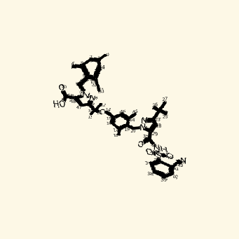 Cc1cc(C)c(Cn2nc(C(C)(C)CCc3cc(C)c(Cn4nc(C(C)(C)C)cc4C(=O)NS(=O)(=O)c4ccccc4C#N)c(C)c3)cc2C(=O)O)c(C)c1